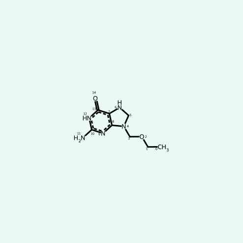 CCOCN1CNc2c1nc(N)[nH]c2=O